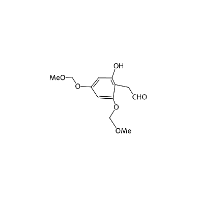 COCOc1cc(O)c(CC=O)c(OCOC)c1